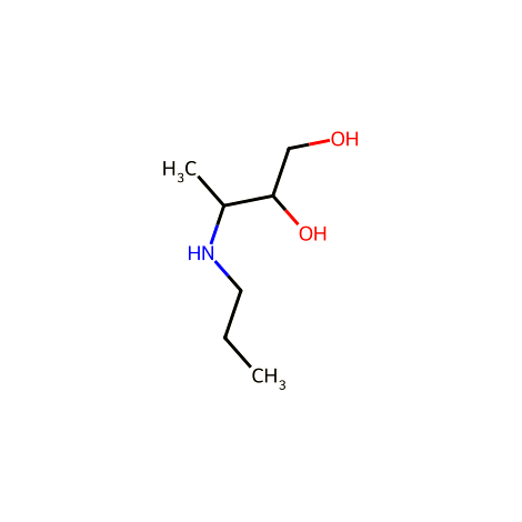 CCCNC(C)C(O)CO